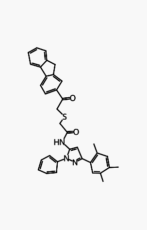 Cc1cc(C)c(-c2cc(NC(=O)CSCC(=O)c3ccc4c(c3)Cc3ccccc3-4)n(-c3ccccc3)n2)cc1C